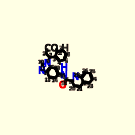 O=C(O)CC(c1ccccc1)n1cnc2ccc(NC(=O)c3ccc4ccccc4n3)cc21